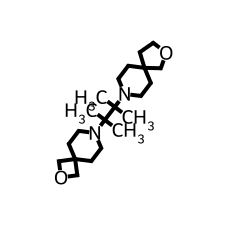 CC(C)(N1CCC2(CCOC2)CC1)C(C)(C)N1CCC2(CC1)COC2